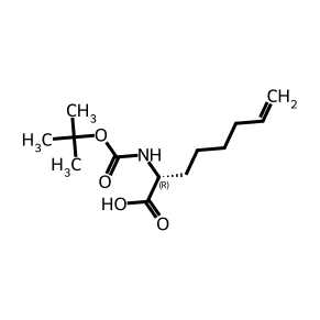 C=CCCCC[C@@H](NC(=O)OC(C)(C)C)C(=O)O